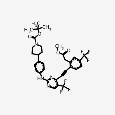 COC(=O)Cc1cc(C(F)(F)F)ccc1C#Cc1nc(Nc2ccc(C3CCN(C(=O)OC(C)(C)C)CC3)cc2)ncc1C(F)(F)F